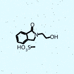 CS(=O)(=O)O.O=C1c2ccccc2CN1CCO